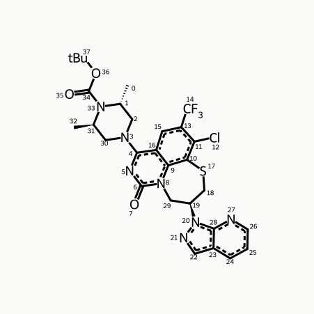 C[C@@H]1CN(c2nc(=O)n3c4c(c(Cl)c(C(F)(F)F)cc24)SC[C@@H](n2ncc4cccnc42)C3)C[C@@H](C)N1C(=O)OC(C)(C)C